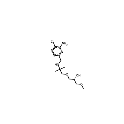 COC[C@@H](O)COCC(C)(C)NCc1nnc(Cl)c(N)n1